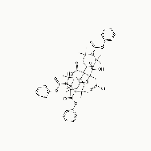 CC1(C)CC(OC(CC(=O)O)(C(=O)O)C(C(=O)O)(C2CC(C)(C)N(C(=O)Oc3ccccc3)C(C)(C)C2)C2CC(C)(C)N(C(=O)Oc3ccccc3)C(C)(C)C2)CC(C)(C)N1C(=O)Oc1ccccc1